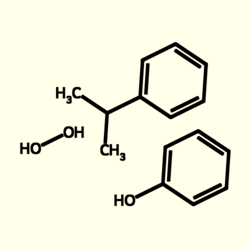 CC(C)c1ccccc1.OO.Oc1ccccc1